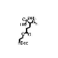 CCCCCCCCCCCCOC(=O)CCC(N(CC)CC)P(=O)(O)O